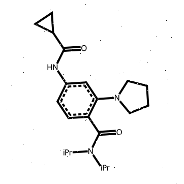 CC(C)N(C(=O)c1ccc(NC(=O)C2CC2)cc1N1CCCC1)C(C)C